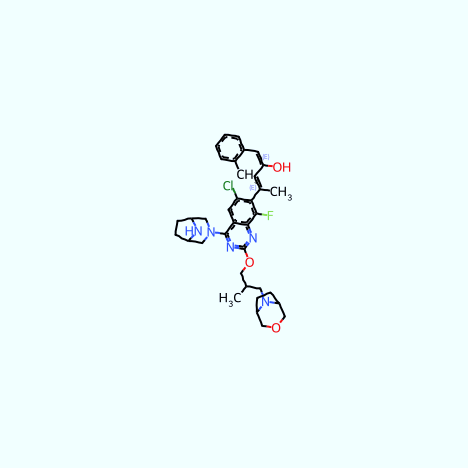 C/C(=C\C(O)=C/c1ccccc1C)c1c(Cl)cc2c(N3CC4CCC(C3)N4)nc(OCC(C)CN3C4CCC3COC4)nc2c1F